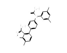 Cc1cc(C)cc(N(C(N)=O)c2ccc(-c3ccc(C)c4onc(N)c34)cc2)c1